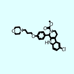 COC(=O)N1CCC2=C(NC3C=CC(Cl)=CC23)C1c1ccc(OCCCN2CCOCC2)cc1